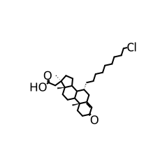 C[C@]1(CC(=O)O)CCC2C3C(CC[C@@]21C)[C@@]1(C)CCC(=O)C=C1C[C@H]3CCCCCCCCCCl